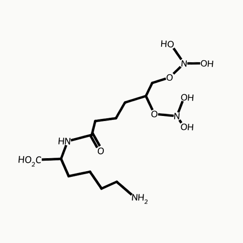 NCCCCC(NC(=O)CCCC(CON(O)O)ON(O)O)C(=O)O